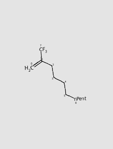 C=C(CCCCCCCCC)C(F)(F)F